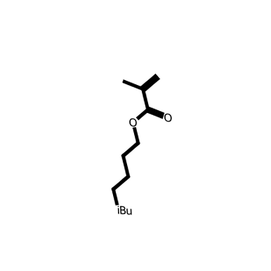 C=C(C)C(=O)OCCCCC(C)CC